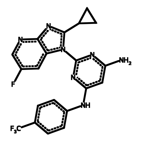 Nc1cc(Nc2ccc(C(F)(F)F)cc2)nc(-n2c(C3CC3)nc3ncc(F)cc32)n1